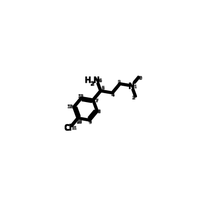 CN(C)CCC(N)c1ccc(Cl)cc1